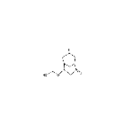 CC1CC2CC(C1)C(OCO)CC2=O